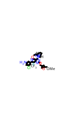 COCC12CC(COc3nc4c5c(nc(-c6cc(N)cc(Cl)c6C(F)(F)F)c(F)c5n3)OCC[C@@H]3[C@@H]5CC[C@H](CN43)N5)(CO1)C2